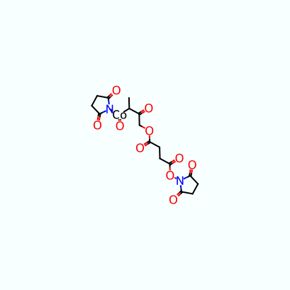 C[CH](C(=O)COC(=O)CCC(=O)ON1C(=O)CCC1=O)[Co](=[O])[N]1C(=O)CCC1=O